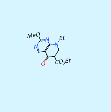 CCOC(=O)C1CN(CC)c2nc(OC)ncc2C1=O